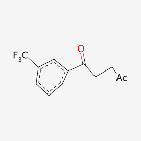 CC(=O)CCC(=O)c1cccc(C(F)(F)F)c1